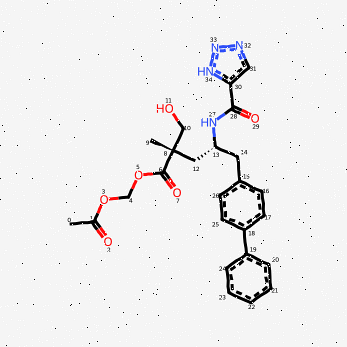 CC(=O)OCOC(=O)[C@](C)(CO)C[C@@H](Cc1ccc(-c2ccccc2)cc1)NC(=O)c1cnn[nH]1